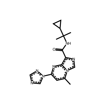 Cc1cc(-n2cncn2)nc2c(C(=O)NC(C)(C)C3CC3)ncn12